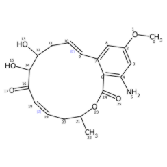 COc1cc(N)c2c(c1)/C=C/CC(O)C(O)C(=O)/C=C\CC(C)OC2=O